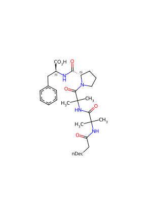 CCCCCCCCCCCC(=O)NC(C)(C)C(=O)NC(C)(C)C(=O)N1CCC[C@H]1C(=O)N[C@@H](Cc1ccccc1)C(=O)O